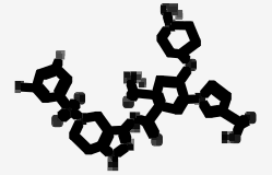 CN1CCC(Oc2cc(C(N)=O)c(C(=O)Nc3n[nH]c4c3CN(S(=O)(=O)c3cc(F)cc(F)c3)CC4)cc2-n2ccc(C(=O)O)c2)CC1